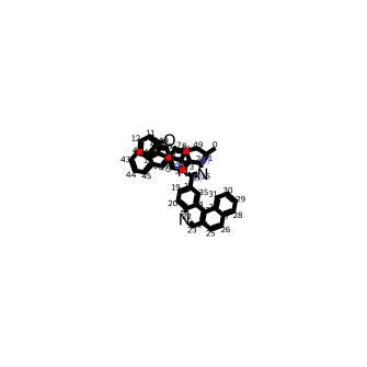 C\C1=C(c2ccc3c(c2)oc2ccccc23)/N=C(c2ccc3ncc4ccc5ccccc5c4c3c2)\N=C(\c2ccc3ccccc3c2)CC1